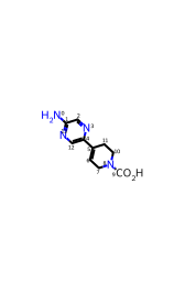 Nc1cnc(C2=CCN(C(=O)O)CC2)cn1